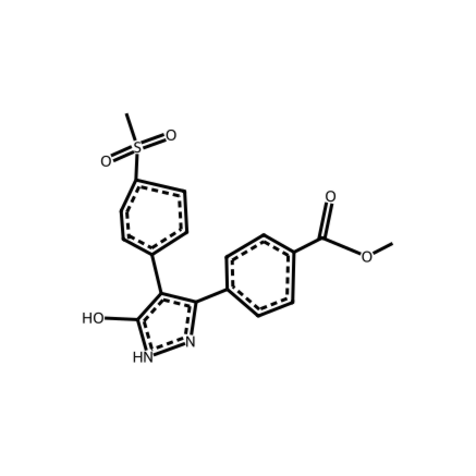 COC(=O)c1ccc(-c2n[nH]c(O)c2-c2ccc(S(C)(=O)=O)cc2)cc1